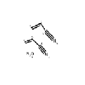 C=CC#N.C=CC#N.O